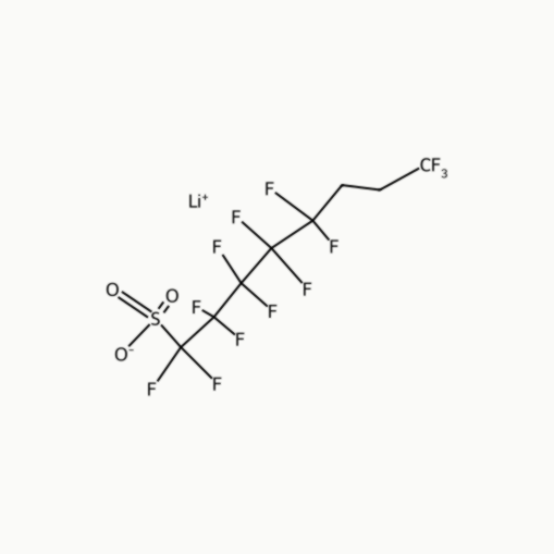 O=S(=O)([O-])C(F)(F)C(F)(F)C(F)(F)C(F)(F)C(F)(F)CCC(F)(F)F.[Li+]